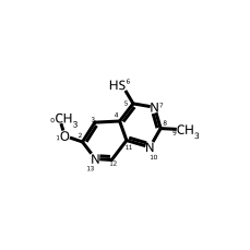 COc1cc2c(S)nc(C)nc2cn1